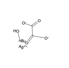 CCCCO.O=C([O-])C(=O)[O-].[Ag+2]